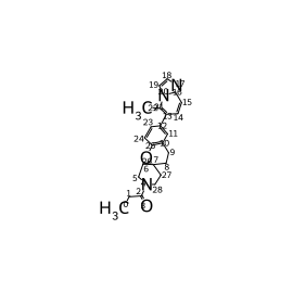 CCC(=O)N1CCC2(CCc3cc(-c4ccc5nccn5c4C)ccc3O2)CC1